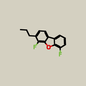 CCCc1ccc2c(oc3c(F)cccc32)c1F